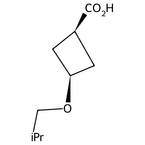 CC(C)CO[C@H]1C[C@@H](C(=O)O)C1